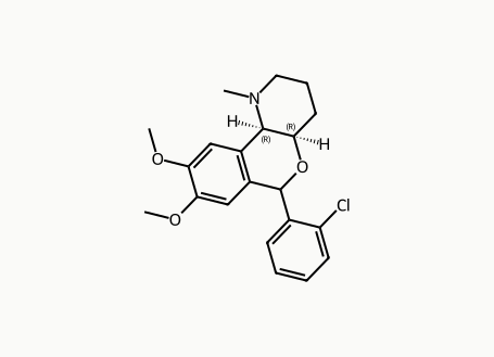 COc1cc2c(cc1OC)[C@@H]1[C@@H](CCCN1C)OC2c1ccccc1Cl